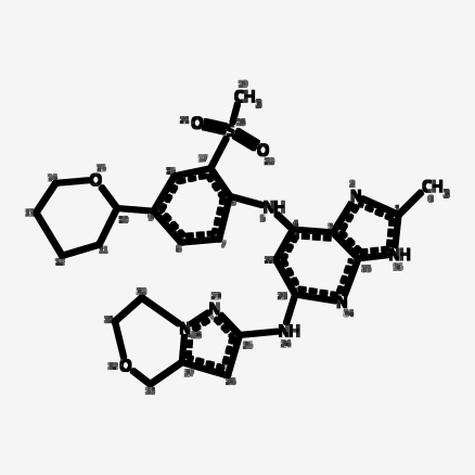 Cc1nc2c(Nc3ccc(C4CCCCO4)cc3S(C)(=O)=O)cc(Nc3cc4n(n3)CCOC4)nc2[nH]1